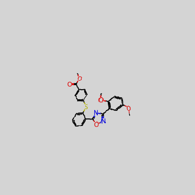 COC(=O)c1ccc(Sc2ccccc2-c2nc(-c3cc(OC)ccc3OC)no2)cc1